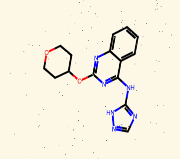 c1ccc2c(Nc3ncn[nH]3)nc(OC3CCOCC3)nc2c1